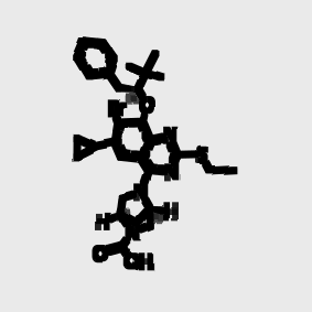 CCSc1nc(N2C[C@@H]3C[C@H]2CN3C(=O)O)c2cc(C3CC3)c(Br)c(O[C@@H](Cc3ccccc3)C(C)(C)C)c2n1